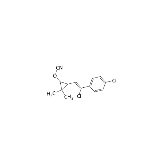 CC1(C)C(C=C(Cl)c2ccc(Cl)cc2)C1OC#N